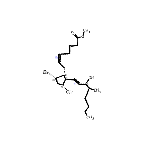 CCCCC(C)[C@H](O)/C=C/[C@@H]1[C@@H](C/C=C\CCCC(=O)OC)[C@@H](Br)C[C@H]1O